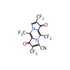 N#Cc1c(C(F)(F)F)c(=O)c2c(C(F)(F)F)n3cc(C(F)(F)F)c(=O)c3c(C(F)(F)F)n12